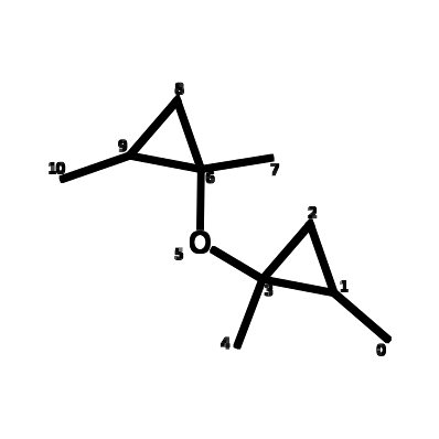 CC1CC1(C)OC1(C)CC1C